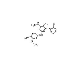 CNc1nc(Nc2ccc(C#N)c(OC)c2)nc2c1CC[C@H]2c1ccccc1Cl